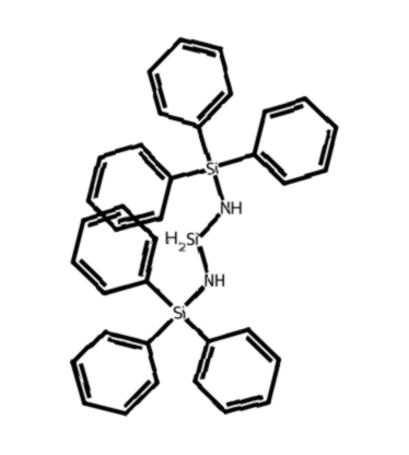 c1ccc([Si](N[SiH2]N[Si](c2ccccc2)(c2ccccc2)c2ccccc2)(c2ccccc2)c2ccccc2)cc1